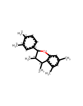 Cc1cc(C)c2c(c1)OC(c1ccc(C)c(C)c1)C(C)C2C